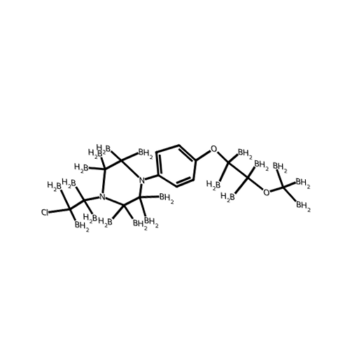 BC(B)(B)OC(B)(B)C(B)(B)Oc1ccc(N2C(B)(B)C(B)(B)N(C(B)(B)C(B)(B)Cl)C(B)(B)C2(B)B)cc1